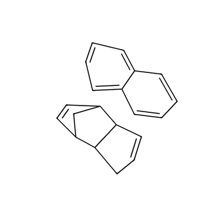 C1=CC2C3C=CC(C3)C2C1.c1ccc2ccccc2c1